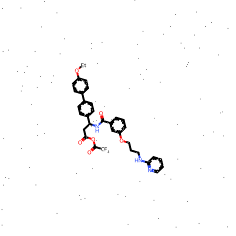 CCOc1ccc(-c2ccc(C(CC(=O)OC(=O)C(F)(F)F)NC(=O)c3cccc(OCCCNc4ccccn4)c3)cc2)cc1